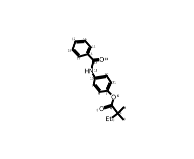 CCC(C)(C)C(=O)Oc1ccc(NC(=O)c2ccccc2)cc1